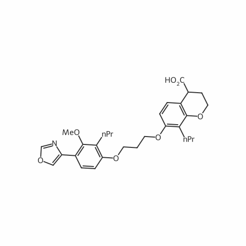 CCCc1c(OCCCOc2ccc3c(c2CCC)OCCC3C(=O)O)ccc(-c2cocn2)c1OC